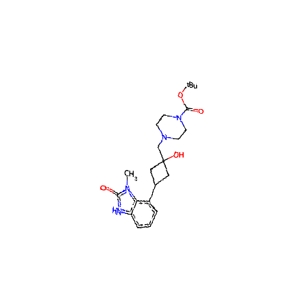 Cn1c(=O)[nH]c2cccc(C3CC(O)(CN4CCN(C(=O)OC(C)(C)C)CC4)C3)c21